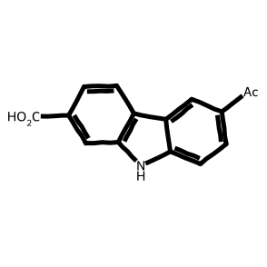 CC(=O)c1ccc2[nH]c3cc(C(=O)O)ccc3c2c1